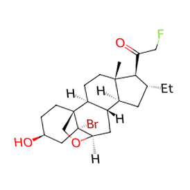 CC[C@@H]1C[C@H]2[C@@H]3C[C@H]4OC[C@@]5(CC[C@H](O)C[C@]45Br)[C@H]3CC[C@]2(C)[C@H]1C(=O)CF